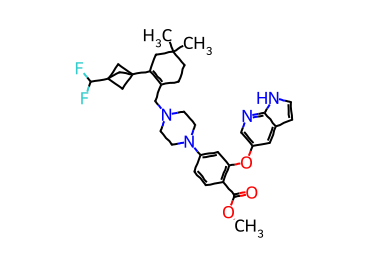 COC(=O)c1ccc(N2CCN(CC3=C(C45CC(C(F)F)(C4)C5)CC(C)(C)CC3)CC2)cc1Oc1cnc2[nH]ccc2c1